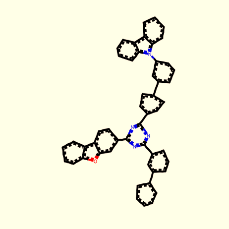 c1ccc(-c2cccc(-c3nc(-c4ccc(-c5cccc(-n6c7ccccc7c7ccccc76)c5)cc4)nc(-c4ccc5c(c4)oc4ccccc45)n3)c2)cc1